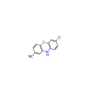 N#Cc1ccc2c(c1)Nc1ccc(Cl)cc1S2